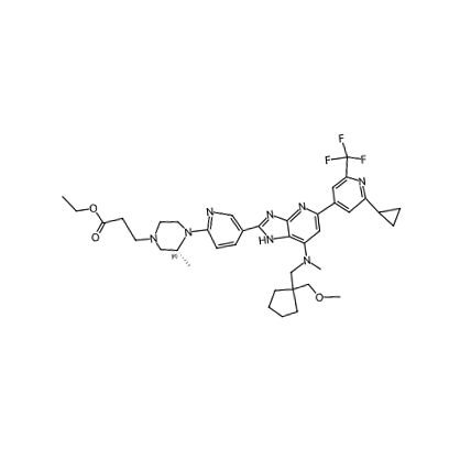 CCOC(=O)CCN1CCN(c2ccc(-c3nc4nc(-c5cc(C6CC6)nc(C(F)(F)F)c5)cc(N(C)CC5(COC)CCCC5)c4[nH]3)cn2)[C@H](C)C1